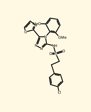 COc1cccc(OC)c1-n1c(NS(=O)(=O)CCc2ccc(Cl)cc2)nnc1-c1ncco1